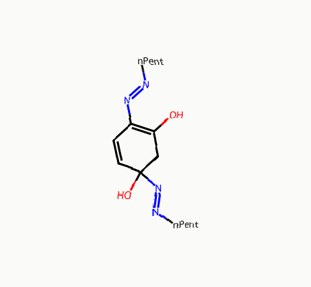 CCCCCN=NC1=C(O)CC(O)(N=NCCCCC)C=C1